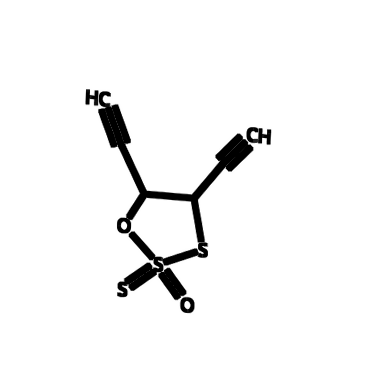 C#CC1OS(=O)(=S)SC1C#C